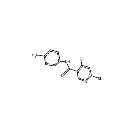 Nc1ccc(NC(=O)c2cnc(Cl)cc2Cl)cc1